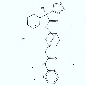 O=C(C[N+]12CCC(CC1)C(OC(=O)[C@](O)(c1ccsc1)C1CCCCC1)C2)Nc1ncccn1.[Br-]